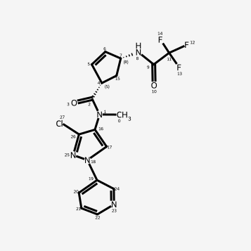 CN(C(=O)[C@@H]1C=C[C@H](NC(=O)C(F)(F)F)C1)c1cn(-c2cccnc2)nc1Cl